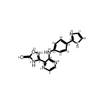 O=c1[nH]c(-c2nccnc2Nc2ccc(-c3nccs3)cc2)no1